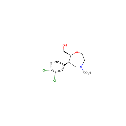 O=C(O)N1CCO[C@H](CO)[C@H](c2ccc(Cl)c(Cl)c2)C1